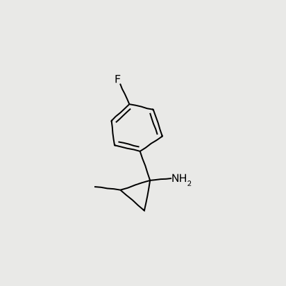 CC1CC1(N)c1ccc(F)cc1